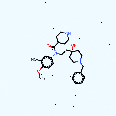 N#Cc1cc(N(CCC2(O)CCN(Cc3ccccc3)CC2)C(=O)C2CCNCC2)ccc1OC(F)(F)F